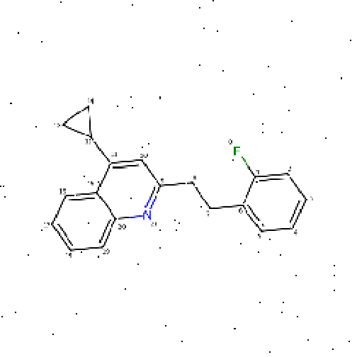 Fc1ccccc1CCc1cc(C2CC2)c2ccccc2n1